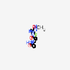 Cc1noc(-c2cnc3n2CCN(C(=O)c2cc(Cc4n[nH]c(=O)c5ccccc45)ccc2F)C3)n1